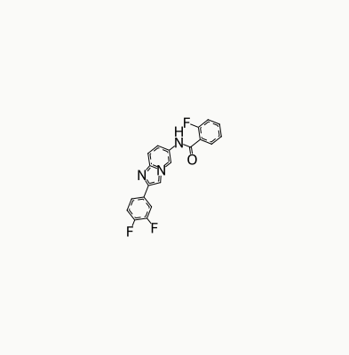 O=C(Nc1ccc2nc(-c3ccc(F)c(F)c3)cn2c1)c1ccccc1F